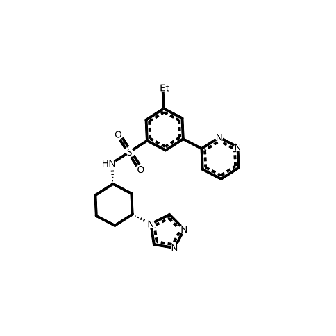 CCc1cc(-c2cccnn2)cc(S(=O)(=O)N[C@H]2CCC[C@@H](n3cnnc3)C2)c1